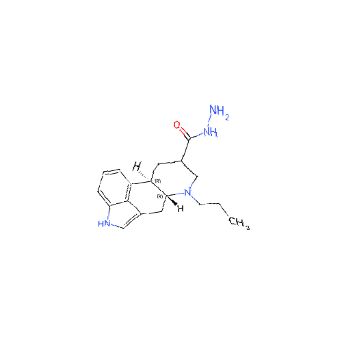 CCCN1CC(C(=O)NN)C[C@@H]2c3cccc4[nH]cc(c34)C[C@H]21